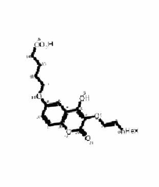 CCCCCCC=COc1c(O)c2cc(OCCCCC(=O)O)ccc2oc1=O